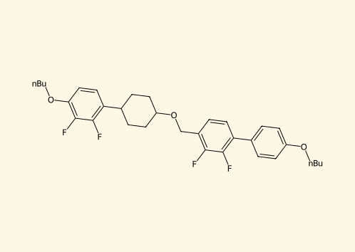 CCCCOc1ccc(-c2ccc(COC3CCC(c4ccc(OCCCC)c(F)c4F)CC3)c(F)c2F)cc1